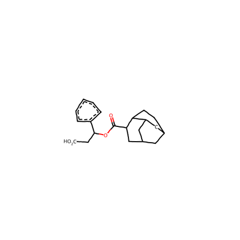 O=C(O)CC(OC(=O)C1CC2CC3CCC1C(C3)C2)c1ccccc1